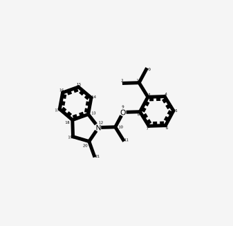 CC(C)c1ccccc1OC(C)N1c2ccccc2CC1C